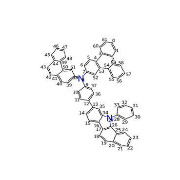 c1ccc(-c2ccc(N(c3ccc(-c4ccc5c6ccc7ccccc7c6n(-c6ccccc6)c5c4)cc3)c3ccc4ccc5ccccc5c4c3)cc2-c2ccccc2)cc1